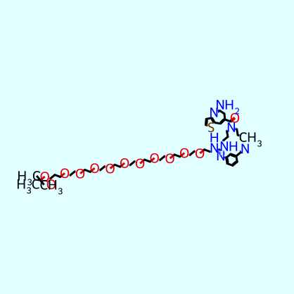 CCCN(CCCN/C(=N\c1cccc(C#N)c1)NCCOCCOCCOCCOCCOCCOCCOCCOCCOCCOCCC(=O)OC(C)(C)C)C(=O)C1=Cc2sccc2N=C(N)C1